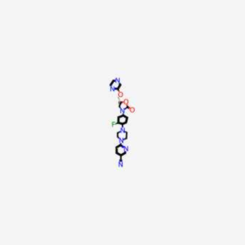 N#Cc1ccc(N2CCN(c3ccc(N4C[C@H](COc5cnccn5)OC4=O)cc3F)CC2)nc1